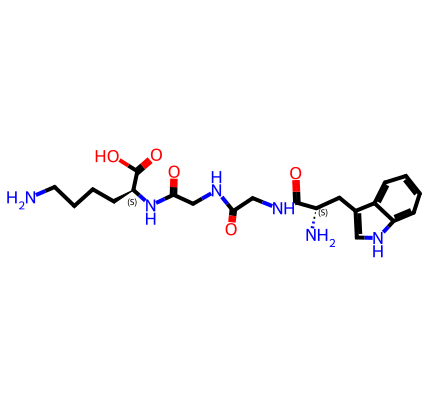 NCCCC[C@H](NC(=O)CNC(=O)CNC(=O)[C@@H](N)Cc1c[nH]c2ccccc12)C(=O)O